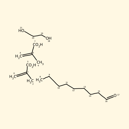 C=C(C)C(=O)O.C=C(C)C(=O)O.CCCCCCCCC=O.OCCO